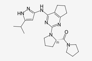 CC(C)c1cc(Nc2nc(N3CCC[C@H]3C(=O)N3CCCC3)nc3c2CCC3)n[nH]1